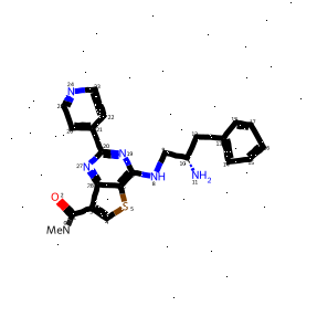 CNC(=O)c1csc2c(NC[C@@H](N)Cc3ccccc3)nc(-c3ccncc3)nc12